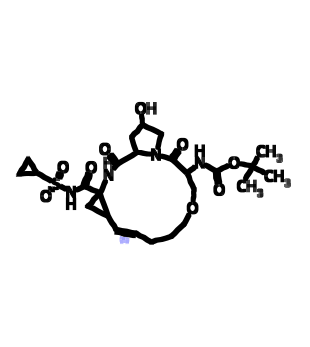 CC(C)(C)OC(=O)NC1COCCC/C=C/C2CC2(C(=O)NS(=O)(=O)C2CC2)NC(=O)C2CC(O)CN2C1=O